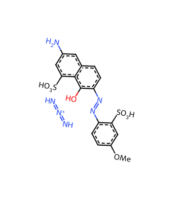 COc1ccc(N=Nc2ccc3cc(N)cc(S(=O)(=O)O)c3c2O)c(S(=O)(=O)O)c1.N=[N+]=N